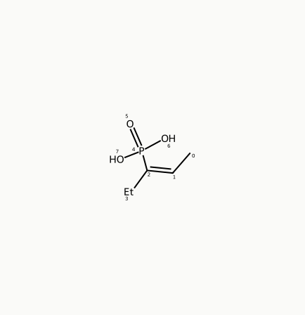 CC=C(CC)P(=O)(O)O